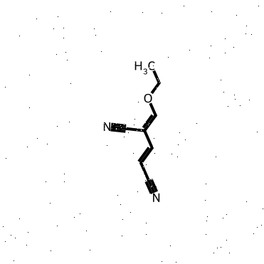 CCOC=C(C#N)C=CC#N